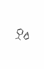 CC(C)c1ccccc1.c1cc2cc-2c1